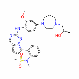 COc1cc(N2CCCN(C[C@@H](C)O)CC2)ccc1Nc1ncc2ccc(-c3ccccc3N(C)S(C)(=O)=O)n2n1